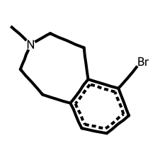 CN1CCc2cccc(Br)c2CC1